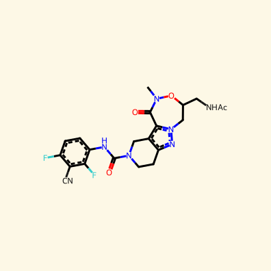 CC(=O)NCC1Cn2nc3c(c2C(=O)N(C)O1)CN(C(=O)Nc1ccc(F)c(C#N)c1F)CC3